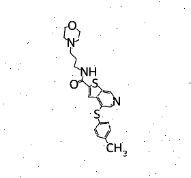 Cc1ccc(Sc2cncc3sc(C(=O)NCCCN4CCOCC4)cc23)cc1